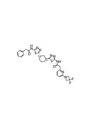 O=C(Cc1ccccc1)Nc1nnc([C@H]2CCC[C@H](c3nnc(NC(=O)Cc4cccc(N5CC(F)(F)C5)n4)s3)C2)s1